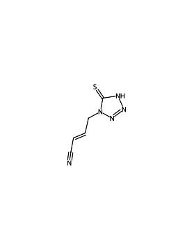 N#CC=CCn1nn[nH]c1=S